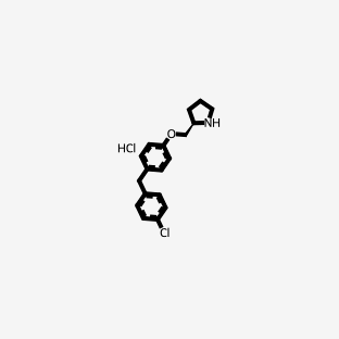 Cl.Clc1ccc(Cc2ccc(OC[C@H]3CCCN3)cc2)cc1